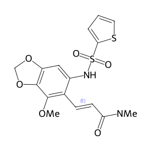 CNC(=O)/C=C/c1c(NS(=O)(=O)c2cccs2)cc2c(c1OC)OCO2